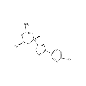 C[C@@]1(c2cc(-c3cnc(C#N)nc3)cs2)C[C@@H](C(F)(F)F)OC(N)=N1